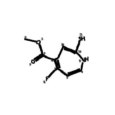 COC(=O)C1=C(F)C=CNC(S)=C1